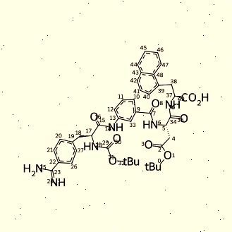 CC(C)(C)OC(=O)C[C@H](NC(=O)c1cccc(NC(=O)[C@H](Cc2ccc(C(=N)N)cc2)NC(=O)OC(C)(C)C)c1)C(=O)N[C@@H](Cc1cccc2ccccc12)C(=O)O